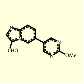 COc1ncc(-c2ccc3ncc(C=O)n3c2)cn1